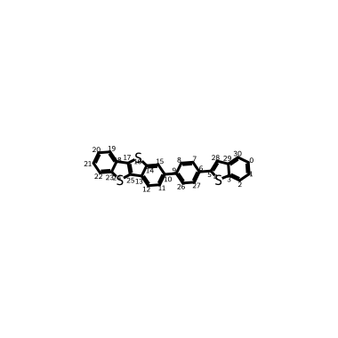 c1ccc2sc(-c3ccc(-c4ccc5c(c4)sc4c6ccccc6sc54)cc3)cc2c1